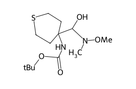 CON(C)C(O)C1(NC(=O)OC(C)(C)C)CCSCC1